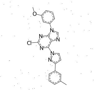 COc1cccc(-n2cnc3c(-n4ccc(-c5cccc(C)c5)n4)nc(Cl)nc32)c1